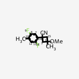 COC1(C)CC(C#N)(c2cc(F)c(C)cc2F)C1